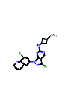 COC1CC(Nc2ncc3c(Br)nn(-c4cc(F)c5ncccc5c4)c3n2)C1